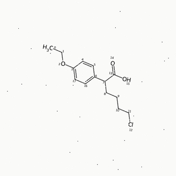 CCOc1ccc(C(CCCCCl)C(=O)O)cc1